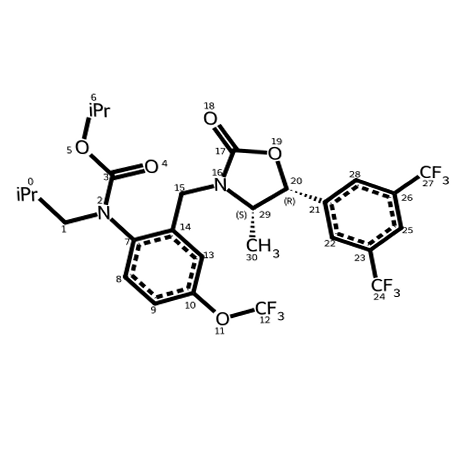 CC(C)CN(C(=O)OC(C)C)c1ccc(OC(F)(F)F)cc1CN1C(=O)O[C@H](c2cc(C(F)(F)F)cc(C(F)(F)F)c2)[C@@H]1C